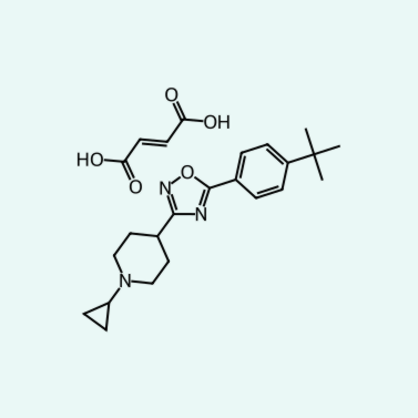 CC(C)(C)c1ccc(-c2nc(C3CCN(C4CC4)CC3)no2)cc1.O=C(O)/C=C/C(=O)O